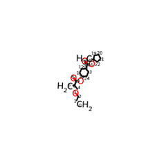 C=CCOCC(=C)C(=O)OC1CCC(C(=O)OC2(C)CCCC2)CC1